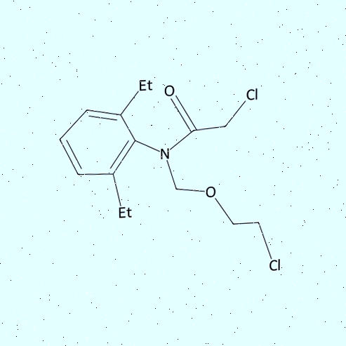 CCc1cccc(CC)c1N(COCCCl)C(=O)CCl